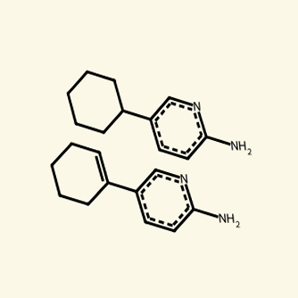 Nc1ccc(C2=CCCCC2)cn1.Nc1ccc(C2CCCCC2)cn1